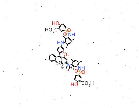 Cc1cc(C)c(NS(=O)(=O)c2ccc(O)c(C(=O)O)c2)c(C)c1/N=c1\cc2oc3cc(Nc4c(C)cc(C)c(NS(=O)(=O)c5ccc(O)c(C(=O)O)c5)c4C)ccc3c(-c3ccccc3S(=O)(=O)O)c-2cc1S(=O)(=O)O